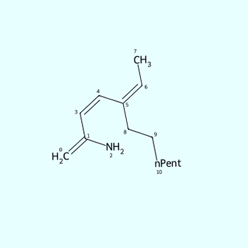 C=C(N)/C=C\C(=C/C)CCCCCCC